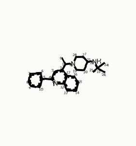 CC(c1cc(-c2ccccc2)nc2ccccc12)N1CCC(NC(C)(C)C)CC1